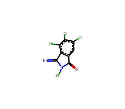 N=C1c2c(cc(Cl)c(Cl)c2Cl)C(=O)N1Cl